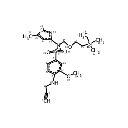 C#CCNc1ccc(S(=O)(=O)N(COCC[Si](C)(C)C)c2cc(C)on2)cc1OC